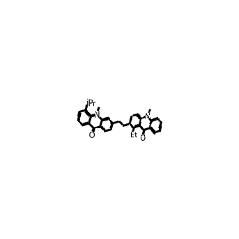 CCc1c(CCc2ccc3c(=O)c4cccc(C(C)C)c4n(C)c3c2)ccc2c1c(=O)c1ccccc1n2C